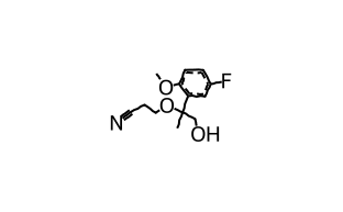 COc1ccc(F)cc1C(C)(CO)OCCC#N